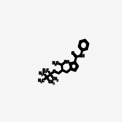 CC(O)C(CO[Si](C)(C)C(C)(C)C)Cc1ccc(C(=O)Nc2ccccc2)o1